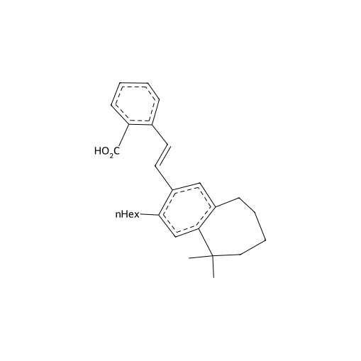 CCCCCCc1cc2c(cc1C=Cc1ccccc1C(=O)O)CCCCC2(C)C